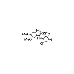 COc1cc2ncc(C#N)c(Nc3c(Cl)cc(I)c4c3OCO4)c2cc1OC